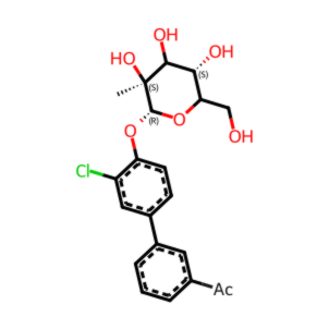 CC(=O)c1cccc(-c2ccc(O[C@H]3OC(CO)[C@@H](O)C(O)[C@]3(C)O)c(Cl)c2)c1